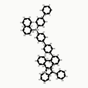 c1ccc(-c2ccc(N(c3ccc(-c4ccc(-c5cccc6c5c5ccccc5c5c6c(-c6ccccc6)c6ccccn65)cc4)cc3)c3cccc4ccccc34)cc2)cc1